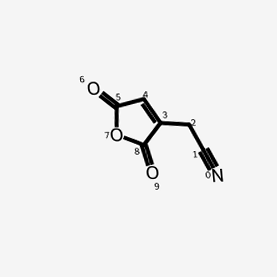 N#CCC1=CC(=O)OC1=O